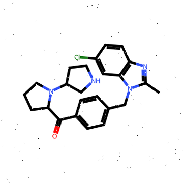 Cc1nc2ccc(Cl)cc2n1Cc1ccc(C(=O)C2CCCN2C2CCNC2)cc1